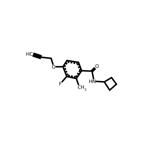 C#CCOc1ccc(C(=O)NC2CCC2)c(C)c1F